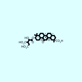 CC1(C)C2CC[C@]3(C)[C@H](C(=O)C=C4[C@H]5C[C@@](C)(C(=O)O)CC[C@]5(C)CC[C@]43C)[C@@]2(C)CC[C@@H]1OC(=O)C(O)C(CC(=O)O)C(=O)O